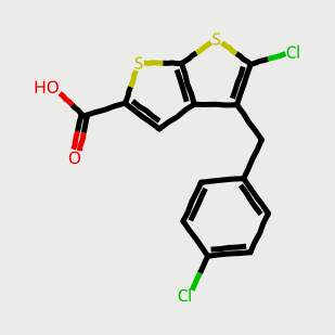 O=C(O)c1cc2c(Cc3ccc(Cl)cc3)c(Cl)sc2s1